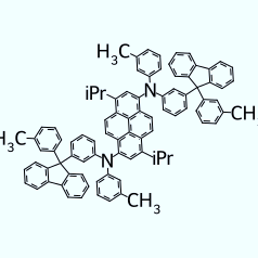 Cc1cccc(N(c2cccc(C3(c4cccc(C)c4)c4ccccc4-c4ccccc43)c2)c2cc(C(C)C)c3ccc4c(N(c5cccc(C)c5)c5cccc(C6(c7cccc(C)c7)c7ccccc7-c7ccccc76)c5)cc(C(C)C)c5ccc2c3c54)c1